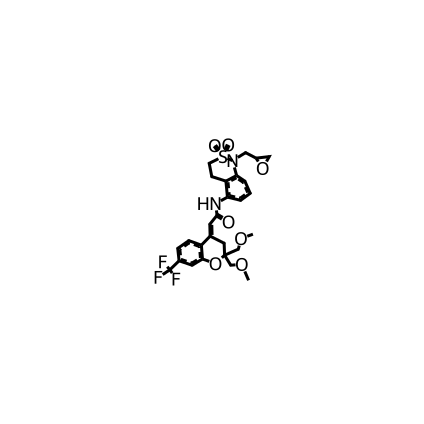 COCC1(COC)CC(=CC(=O)Nc2cccc3c2CCS(=O)(=O)N3CC2CO2)c2ccc(C(F)(F)F)cc2O1